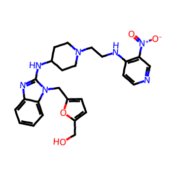 O=[N+]([O-])c1cnccc1NCCN1CCC(Nc2nc3ccccc3n2Cc2ccc(CO)o2)CC1